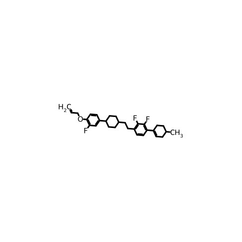 C=CCOc1ccc(C2CCC(CCc3ccc(C4=CCC(C)CC4)c(F)c3F)CC2)cc1F